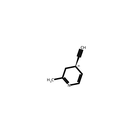 C#C[C@H]1C=CN=C(C)C1